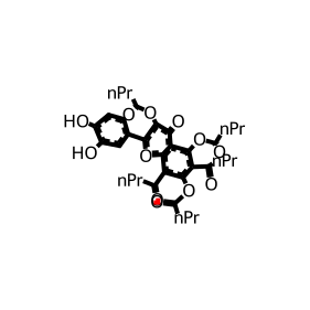 CCCC(=O)Oc1c(C(=O)CCC)c(OC(=O)CCC)c2c(=O)c(OC(=O)CCC)c(-c3ccc(O)c(O)c3)oc2c1C(=O)CCC